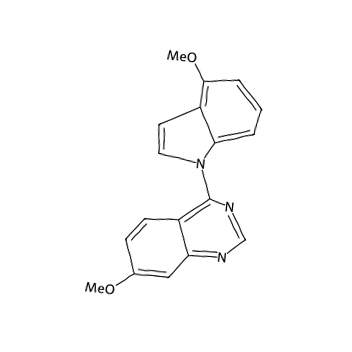 COc1ccc2c(-n3ccc4c(OC)cccc43)ncnc2c1